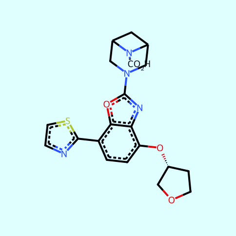 O=C(O)N1C2CC1CN(c1nc3c(O[C@@H]4CCOC4)ccc(-c4nccs4)c3o1)C2